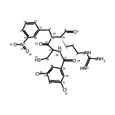 N=C(N)NCCC[C@@H]([C]=O)N(Cc1cccc([N+](=O)[O-])c1)C(=O)C(CS)NC(=O)c1cc(Cl)cc(Cl)c1